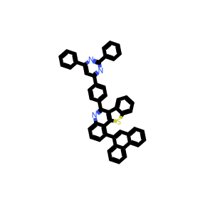 c1ccc(-c2cc(-c3ccc(-c4nc5cccc(-c6cc7ccccc7c7ccccc67)c5c5sc6ccccc6c45)cc3)nc(-c3ccccc3)n2)cc1